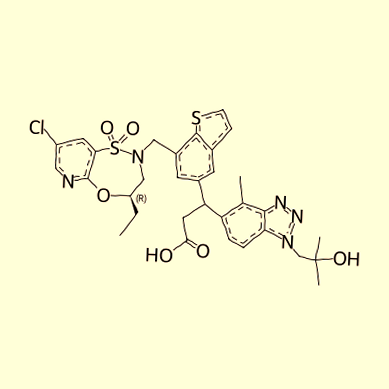 CC[C@@H]1CN(Cc2cc(C(CC(=O)O)c3ccc4c(nnn4CC(C)(C)O)c3C)cc3ccsc23)S(=O)(=O)c2cc(Cl)cnc2O1